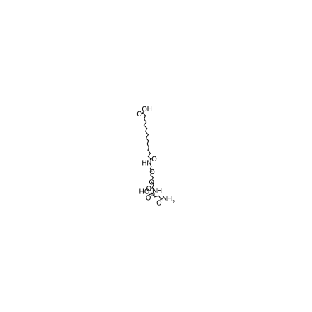 NC(=O)CC[C@H](NC(=O)COCCOCCNC(=O)CCCCCCCCCCCCCCC(=O)O)C(=O)O